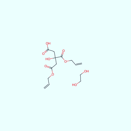 C=CCOC(=O)CC(O)(CC(=O)O)C(=O)OCC=C.OCCO